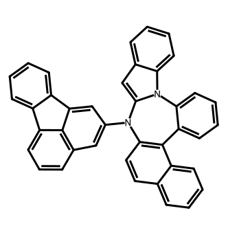 c1ccc2c(c1)-c1cccc3cc(N4c5ccc6ccccc6c5-c5ccccc5-n5c4cc4ccccc45)cc-2c13